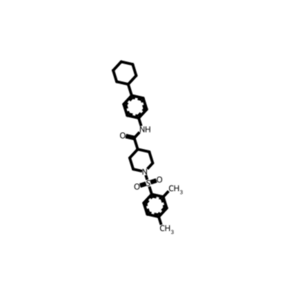 Cc1ccc(S(=O)(=O)N2CCC(C(=O)Nc3ccc(C4CCCCC4)cc3)CC2)c(C)c1